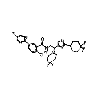 O=C(NCC(c1cnc(C2CCC(F)(F)CC2)s1)N1CCC(F)(F)CC1)c1cc(-c2ncc(F)cn2)ccc1Cl